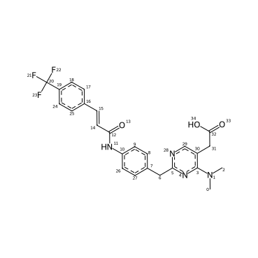 CN(C)c1nc(Cc2ccc(NC(=O)C=Cc3ccc(C(F)(F)F)cc3)cc2)ncc1CC(=O)O